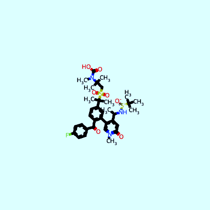 CC(N[S@@+]([O-])C(C)(C)C)c1cc(=O)n(C)cc1-c1cc(C(C)(C)S(=O)(=O)CC(C)(C)N(C)C(=O)O)ccc1C(=O)c1ccc(F)cc1